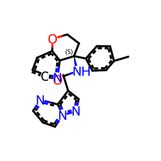 Cc1ccc([C@@]2(NC(=O)c3cnn4cccnc34)CCOc3cccnc32)cc1